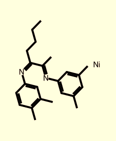 CCCCC(=Nc1ccc(C)c(C)c1)C(C)=Nc1cc(C)cc(C)c1.[Ni]